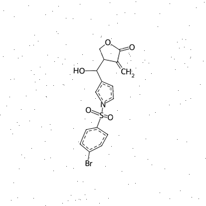 C=C1C(=O)OCC1C(O)c1ccn(S(=O)(=O)c2ccc(Br)cc2)c1